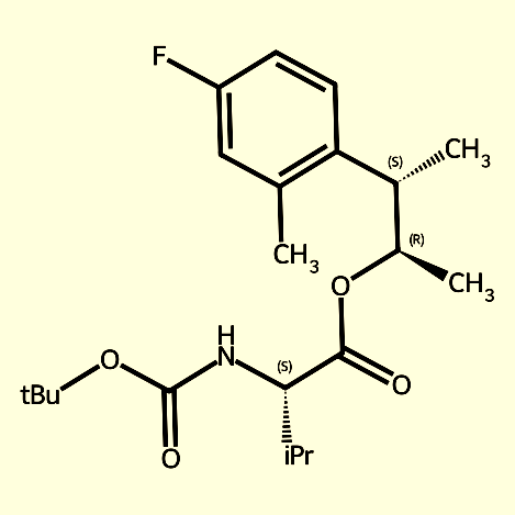 Cc1cc(F)ccc1[C@H](C)[C@@H](C)OC(=O)[C@@H](NC(=O)OC(C)(C)C)C(C)C